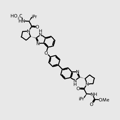 COC(=O)N[C@H](C(=O)N1CCC[C@H]1c1nc2cc(-c3ccc(Oc4cccc5[nH]c([C@@H]6CCCN6C(=O)[C@@H](NC(=O)O)C(C)C)nc45)cc3)ccc2[nH]1)C(C)C